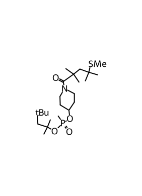 CSC(C)(C)CC(C)(C)C(=O)N1CCC(OP(C)(=O)OC(C)(C)CC(C)(C)C)CC1